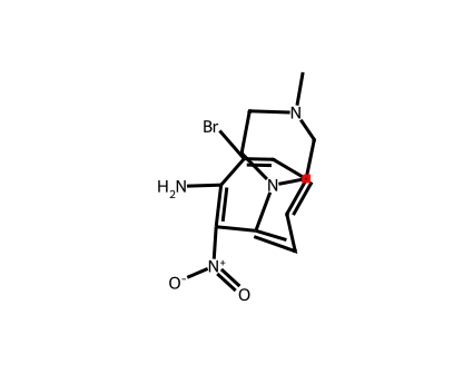 CN1CCN(C2=C\C=C\C=C(Br)/C(N)=C\2[N+](=O)[O-])CC1